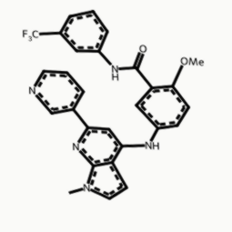 COc1ccc(Nc2cc(-c3cccnc3)nc3c2ccn3C)cc1C(=O)Nc1cccc(C(F)(F)F)c1